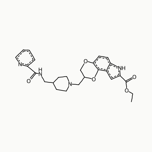 CCOC(=O)c1cc2c3c(ccc2[nH]1)OCC(CN1CCC(CNC(=O)c2ccccn2)CC1)O3